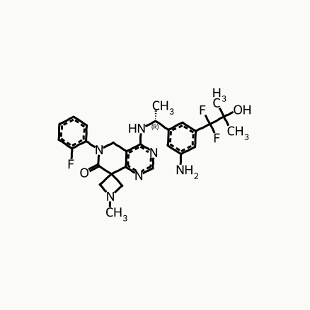 C[C@@H](Nc1ncnc2c1CN(c1ccccc1F)C(=O)C21CN(C)C1)c1cc(N)cc(C(F)(F)C(C)(C)O)c1